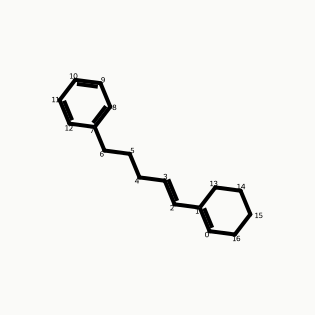 C1=C(/C=C/CCCc2ccccc2)CCCC1